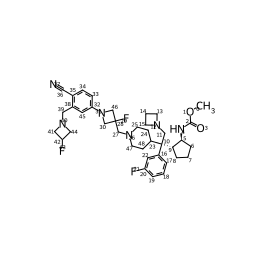 COC(=O)N[C@H]1CCC[C@@H]1C(CN1CCC1)(c1cccc(F)c1)C1CCN(CC2(F)CN(c3ccc(C#N)c(CN4CC(F)C4)c3)C2)CC1